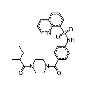 CCC(C)C(=O)N1CCN(C(=O)c2ccc(NS(=O)(=O)c3cccc4cccnc34)cc2)CC1